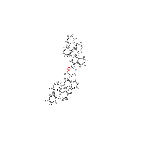 c1ccc2c(C3CCC(c4ccc(-c5cccc6c7ccccc7c7ccccc7c56)c5ccccc45)OC3)ccc(-c3cccc4c5ccccc5c5ccccc5c34)c2c1